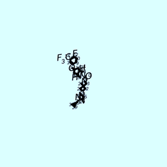 O=C(N1C[C@H]2CC(Oc3ccc(F)c(C(F)(F)F)c3)C[C@H]2C1)N1CC2(CC(n3cnc(C4CC4)n3)C2)C1